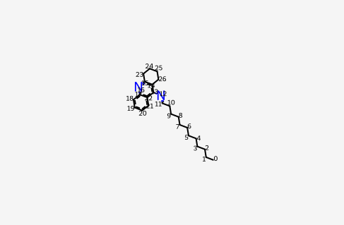 CCCCCCCCCCCC=Nc1c2c(nc3ccccc13)CCCC2